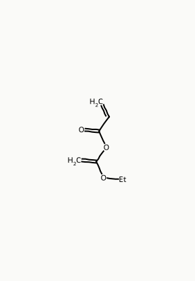 C=CC(=O)OC(=C)OCC